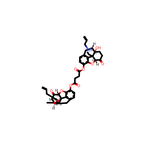 C=CCC1CCC23c4c5ccc(OC(=O)CCC(=O)Oc6ccc7c8c6O[C@H]6C(=O)CC[C@@]9(O)[C@@H](C7)N(CC=C)CCC869)c4O[C@H]2C(=O)CC[C@@]3(OC)[C@@H](C5)C1C